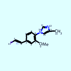 COc1cc(/C=C/I)ccc1-n1cnc(C)c1